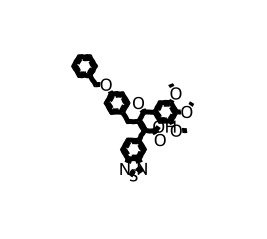 COc1cc(C(=O)C(Cc2ccc(OCc3ccccc3)cc2)=C(C(=O)O)c2ccc3nsnc3c2)cc(OC)c1OC